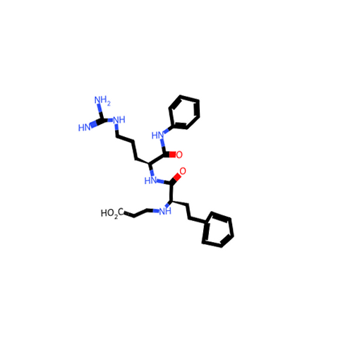 N=C(N)NCCC[C@H](NC(=O)[C@@H](CCc1ccccc1)NCCC(=O)O)C(=O)Nc1ccccc1